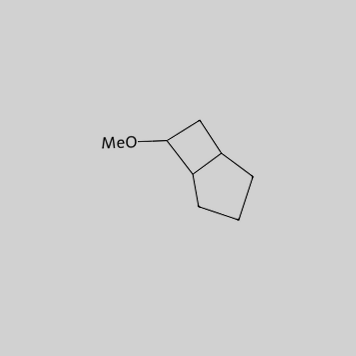 COC1CC2CCCC21